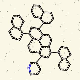 c1cncc(-c2cc(-c3cccc4ccccc34)c3ccc4c(-c5cccc6ccccc56)cc(-c5cccc6ccccc56)c5ccc2c3c54)c1